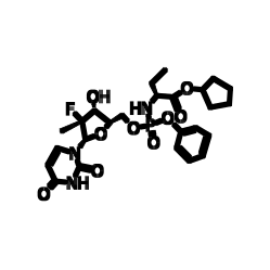 CC[C@H](NP(=O)(OC[C@H]1O[C@@H](n2ccc(=O)[nH]c2=O)[C@](C)(F)[C@@H]1O)Oc1ccccc1)C(=O)OC1CCCC1